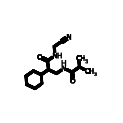 CC(C)C(=O)NCC(C(=O)NCC#N)C1CCCCC1